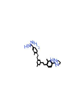 Cc1cc(CCc2ccc(C(=N)N)cc2C)cc(CCc2ccc(C3=NCCCN3)cc2C)c1